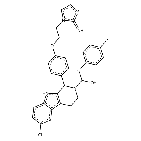 N=c1sccn1CCOc1ccc(C2c3[nH]c4ccc(Cl)cc4c3CCN2C(O)Oc2ccc(F)cc2)cc1